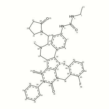 CCNC(=O)Nc1ccc(-c2sc3c(c2CN(C)CCN2CCCC2=O)c(=O)n(-c2ccccc2)c(=O)n3Cc2c(F)cccc2F)cc1